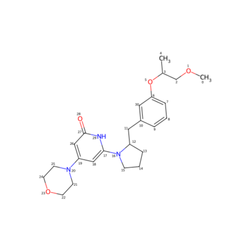 COCC(C)Oc1cccc(CC2CCCN2c2cc(N3CCOCC3)cc(=O)[nH]2)c1